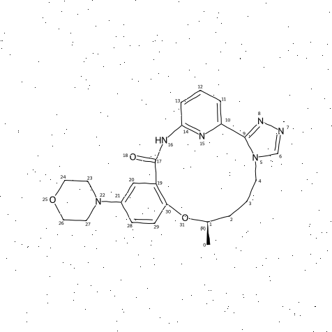 C[C@@H]1CCCn2cnnc2-c2cccc(n2)NC(=O)c2cc(N3CCOCC3)ccc2O1